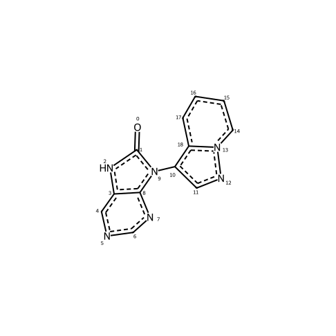 O=c1[nH]c2cncnc2n1-c1cnn2ccccc12